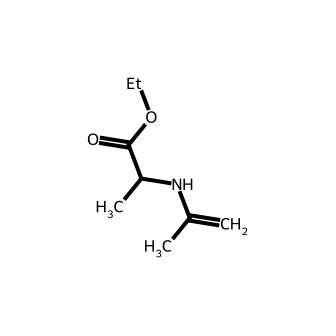 C=C(C)NC(C)C(=O)OCC